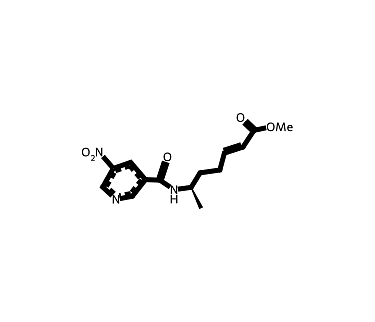 COC(=O)/C=C/CC[C@@H](C)NC(=O)c1cncc([N+](=O)[O-])c1